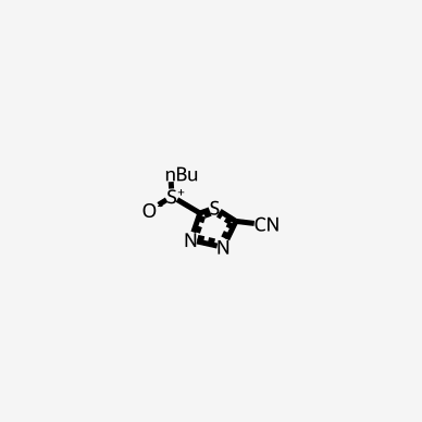 CCCC[S+]([O-])c1nnc(C#N)s1